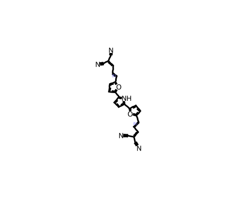 N#CC(C#N)=C/C=C/c1ccc(-c2ccc(-c3ccc(/C=C/C=C(C#N)C#N)o3)[nH]2)o1